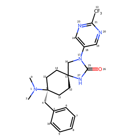 CN(C)[C@]1(Cc2ccccc2)CC[C@@]2(CC1)CN(c1cnc(C(F)(F)F)nc1)C(=O)N2